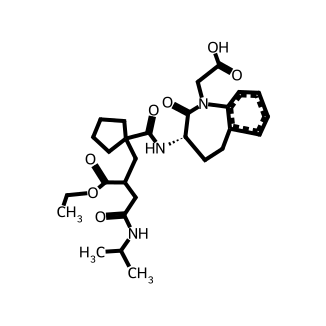 CCOC(=O)C(CC(=O)NC(C)C)CC1(C(=O)N[C@H]2CCc3ccccc3N(CC(=O)O)C2=O)CCCC1